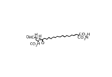 O=CNCC(NC(=O)CCCCCCCCCCCCCCCC(C(=O)O)C(=O)O)C(=O)O